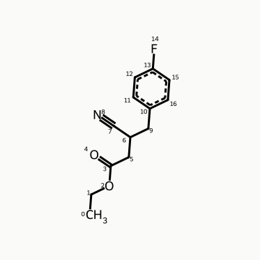 CCOC(=O)CC(C#N)Cc1ccc(F)cc1